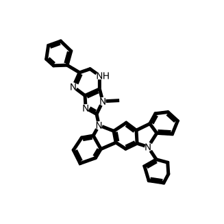 Cn1c(-n2c3ccccc3c3cc4c(cc32)c2ccccc2n4C2=CC=CCC2)nc2c1NCC(c1ccccc1)=N2